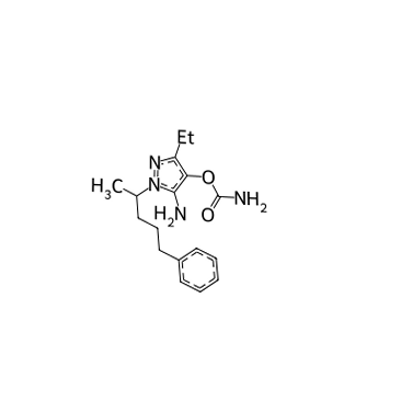 CCc1nn(C(C)CCCc2ccccc2)c(N)c1OC(N)=O